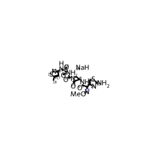 CO/N=C(\C(=O)N[C@H]1CN(C(=O)NS(=O)(=O)Nc2cc(C)sn2)C1=O)c1csc(N)n1.[NaH]